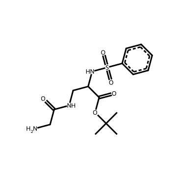 CC(C)(C)OC(=O)C(CNC(=O)CN)NS(=O)(=O)c1ccccc1